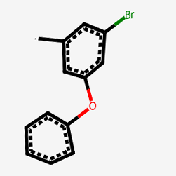 [CH2]c1cc(Br)cc(Oc2ccccc2)c1